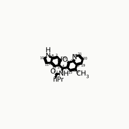 CCCC(=O)NC(c1ccc2[nH]ccc2c1)c1cc(C)c2cccnc2c1O